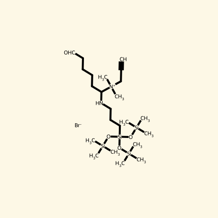 C#CC[N+](C)(C)C(CCCCC=O)NCCC[Si](O[Si](C)(C)C)(O[Si](C)(C)C)O[Si](C)(C)C.[Br-]